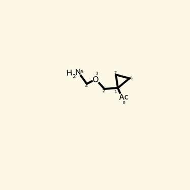 CC(=O)C1(COCN)CC1